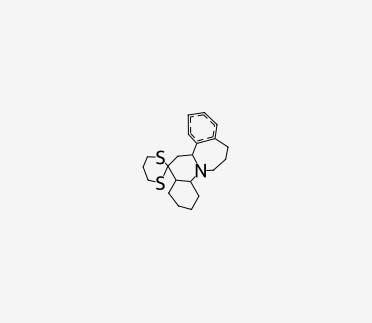 c1ccc2c(c1)CCCN1C2CC2(SCCCS2)C2CCCCC21